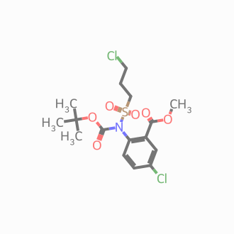 COC(=O)c1cc(Cl)ccc1N(C(=O)OC(C)(C)C)S(=O)(=O)CCCCl